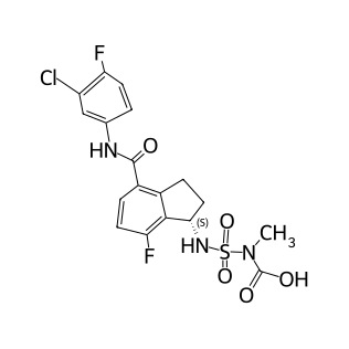 CN(C(=O)O)S(=O)(=O)N[C@H]1CCc2c(C(=O)Nc3ccc(F)c(Cl)c3)ccc(F)c21